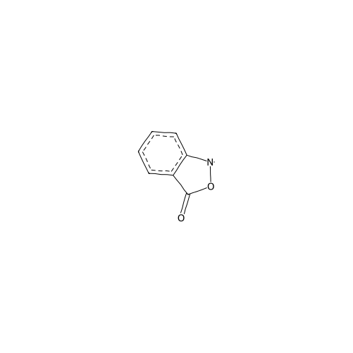 O=C1O[N]c2ccccc21